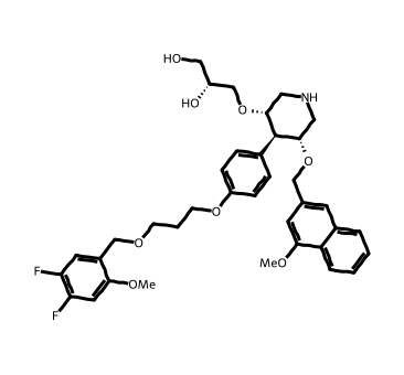 COc1cc(F)c(F)cc1COCCCOc1ccc([C@@H]2[C@@H](OCc3cc(OC)c4ccccc4c3)CNC[C@H]2OC[C@H](O)CO)cc1